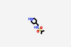 CC(C)S(=O)(=O)NCC1CCNCC1